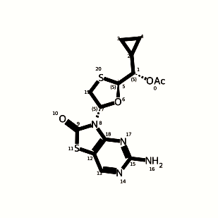 CC(=O)O[C@@H](C1CC1)[C@H]1O[C@H](n2c(=O)sc3cnc(N)nc32)CS1